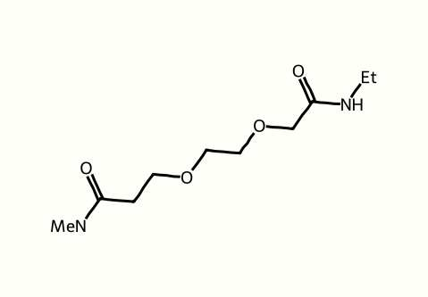 CCNC(=O)COCCOCCC(=O)NC